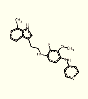 COc1c(Nc2ccncc2)ccc(NCCc2c[nH]c3c(C)cccc23)c1F